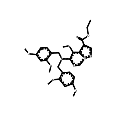 CCOC(=O)c1cnn2cnc(N(Cc3ccc(OC)cc3OC)Cc3ccc(OC)cc3OC)c(OC)c12